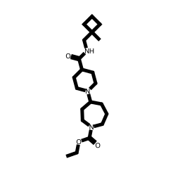 CCOC(=O)N1CCCC(N2CCC(C(=O)NCC3(C)CCC3)CC2)CC1